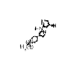 CS(=O)(=O)N1CCC(c2ccnc(Nc3cc(C#N)ccn3)c2)CC1